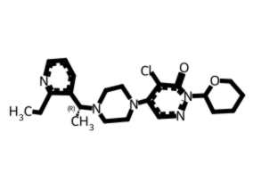 CCc1ncccc1[C@@H](C)N1CCN(c2cnn(C3CCCCO3)c(=O)c2Cl)CC1